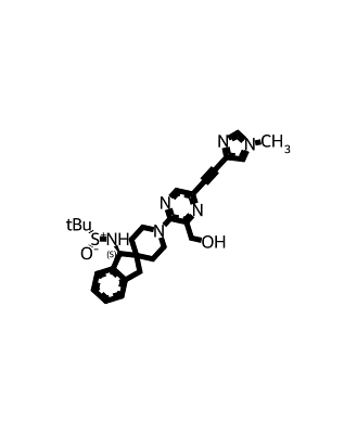 Cn1cnc(C#Cc2cnc(N3CCC4(CC3)Cc3ccccc3[C@H]4N[S+]([O-])C(C)(C)C)c(CO)n2)c1